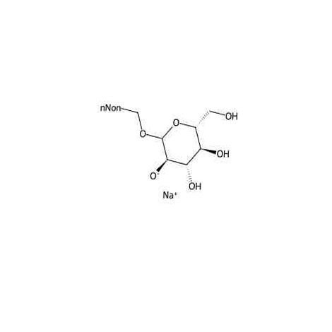 CCCCCCCCCCOC1O[C@H](CO)[C@@H](O)[C@H](O)[C@H]1[O-].[Na+]